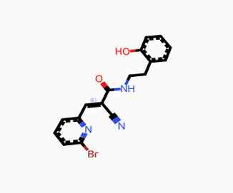 N#C/C(=C\c1cccc(Br)n1)C(=O)NCCc1ccccc1O